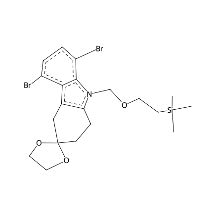 C[Si](C)(C)CCOCn1c2c(c3c(Br)ccc(Br)c31)CC1(CC2)OCCO1